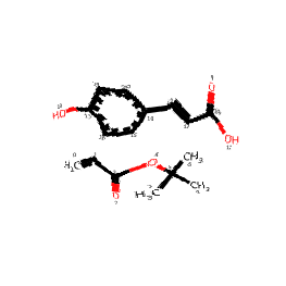 C=CC(=O)OC(C)(C)C.O=C(O)C=Cc1ccc(O)cc1